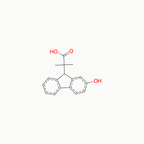 CC(C)(C(=O)O)C1c2ccccc2-c2ccc(O)cc21